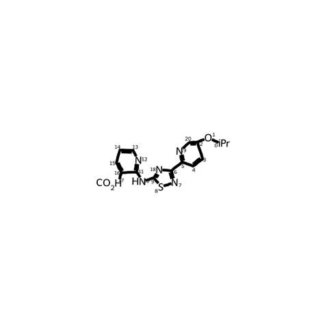 CC(C)Oc1ccc(-c2nsc(Nc3ncccc3C(=O)O)n2)nc1